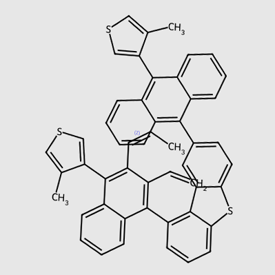 C=Cc1c(/C=C\C)c(-c2cscc2C)c2ccccc2c1-c1cccc2sc3ccc(-c4c5ccccc5c(-c5cscc5C)c5ccccc45)cc3c12